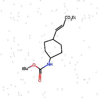 CCOC(=O)C=CC1CCC(NC(=O)OC(C)(C)C)CC1